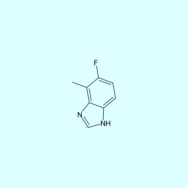 Cc1c(F)ccc2[nH][c]nc12